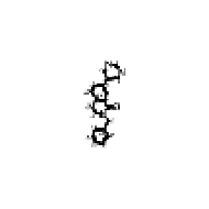 O=c1c2cc(-c3cncnc3)ccc2ncn1Cc1ccccc1